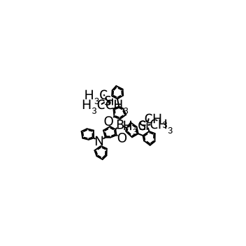 C[Si](C)(C)c1ccccc1-c1ccc2c(c1)Oc1cc(N(c3ccccc3)c3ccccc3)cc3c1B2c1ccc(-c2ccccc2[Si](C)(C)C)cc1O3